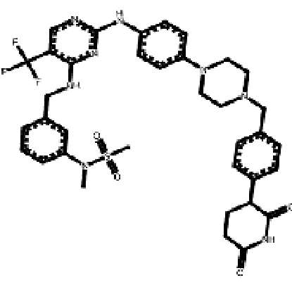 CN(c1cccc(CNc2nc(Nc3ccc(N4CCN(Cc5ccc(C6CCC(=O)NC6=O)cc5)CC4)cc3)ncc2C(F)(F)F)c1)S(C)(=O)=O